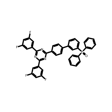 O=P(c1ccccc1)(c1ccccc1)c1cccc(-c2ccc(-c3nc(-c4cc(F)cc(F)c4)nc(-c4cc(F)cc(F)c4)n3)cc2)c1